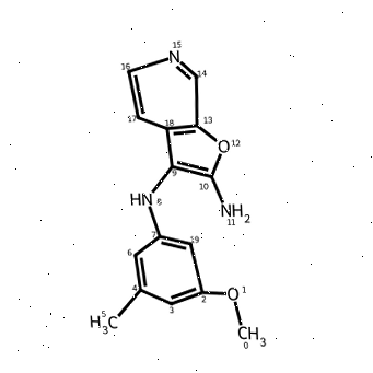 COc1cc(C)cc(Nc2c(N)oc3cnccc23)c1